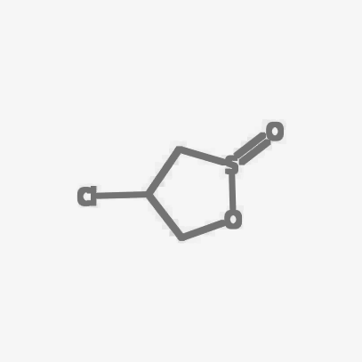 O=S1CC(Cl)CO1